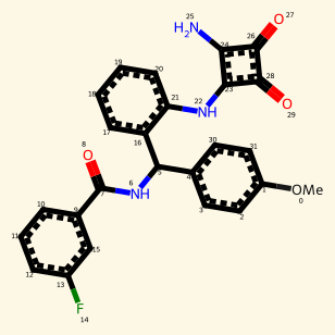 COc1ccc(C(NC(=O)c2cccc(F)c2)c2ccccc2Nc2c(N)c(=O)c2=O)cc1